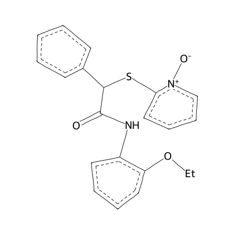 CCOc1ccccc1NC(=O)C(Sc1cccc[n+]1[O-])c1ccccc1